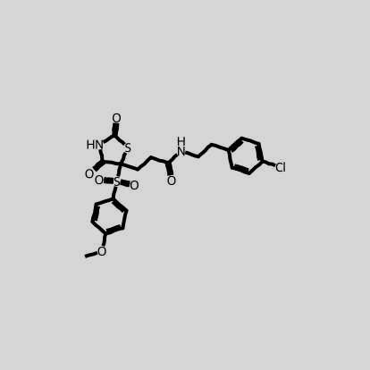 COc1ccc(S(=O)(=O)C2(CCC(=O)NCCc3ccc(Cl)cc3)SC(=O)NC2=O)cc1